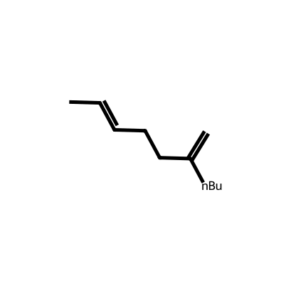 C=C(CCC=CC)CCCC